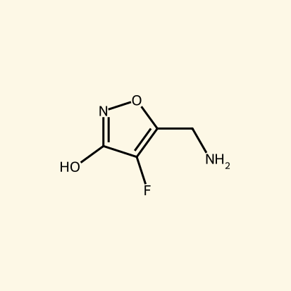 NCc1onc(O)c1F